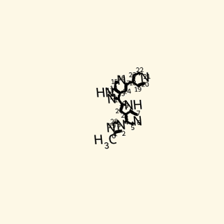 Cc1cn(-c2cncc3[nH]c(-c4n[nH]c5cnc(-c6ccncc6)cc45)cc23)cn1